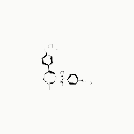 COc1ccc(C2=C[C@H](S(=O)(=O)c3ccc(C)cc3)CNCC2)cc1